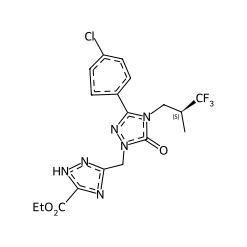 CCOC(=O)c1nc(Cn2nc(-c3ccc(Cl)cc3)n(C[C@H](C)C(F)(F)F)c2=O)n[nH]1